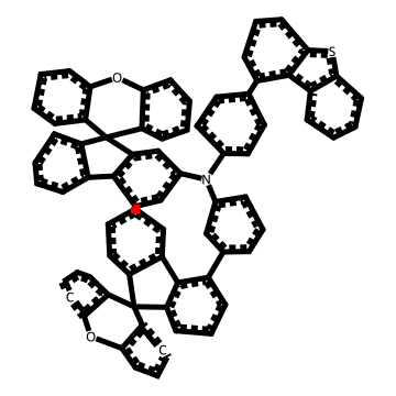 c1cc(-c2cccc3c2-c2ccccc2C32c3ccccc3Oc3ccccc32)cc(N(c2ccc(-c3cccc4sc5ccccc5c34)cc2)c2ccc3c(c2)C2(c4ccccc4Oc4ccccc42)c2ccccc2-3)c1